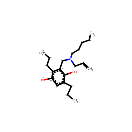 C=CCN(CCCCC)Cc1c(O)c(CCC)cc(O)c1CCC